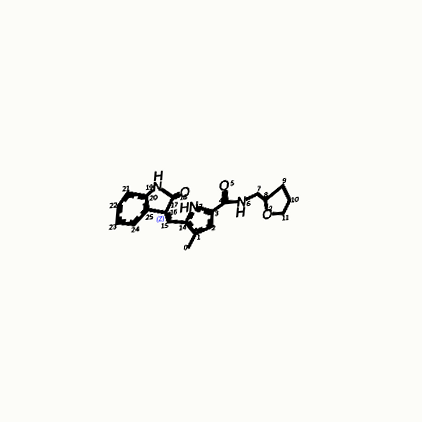 Cc1cc(C(=O)NCC2CCCO2)[nH]c1/C=C1\C(=O)Nc2ccccc21